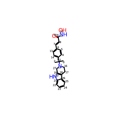 CC(C)(c1ccc(C=CC(=O)NO)cc1)N1CCc2c([nH]c3ccccc23)C1